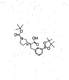 CC(C)(C)OC(=O)N1CC[C@H](C(Cc2cccc(B3OC(C)(C)C(C)(C)O3)c2)C(=O)O)C1